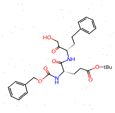 CC(C)(C)OC(=O)CC[C@H](NC(=O)OCc1ccccc1)C(=O)N[C@@H](CCc1ccccc1)C(=O)CO